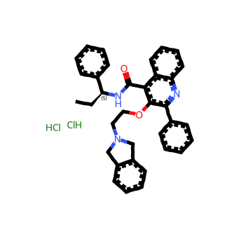 CC[C@H](NC(=O)c1c(OCCN2Cc3ccccc3C2)c(-c2ccccc2)nc2ccccc12)c1ccccc1.Cl.Cl